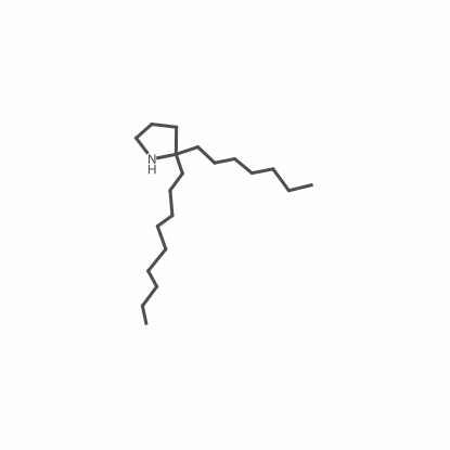 CCCCCCCCCC1(CCCCCCC)CCCN1